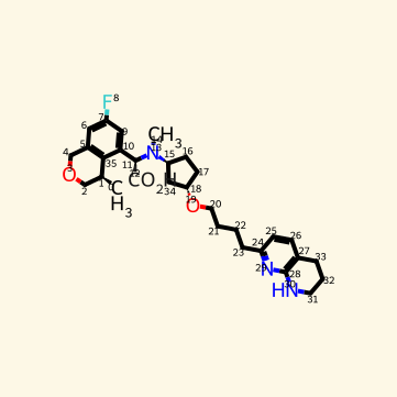 C[C@H]1COCc2cc(F)cc([C@H](C(=O)O)N(C)[C@H]3CC[C@H](OCCCCc4ccc5c(n4)NCCC5)C3)c21